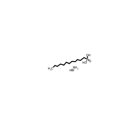 Br.CCCCCCCCCCCCP(=O)(O)O.N